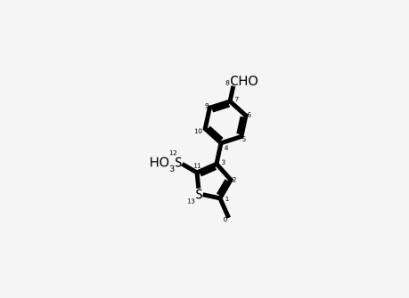 Cc1cc(-c2ccc(C=O)cc2)c(S(=O)(=O)O)s1